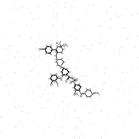 CN1CCN(Nc2ccc(S(=O)(=O)NC(=O)c3ccc(N4CCN(CC5=C(c6ccc(Cl)cc6)CC(C)(C)CC5)CC4)cc3Oc3cccc(Cl)c3F)cc2[N+](=O)[O-])CC1